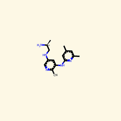 Cc1cc(C)nc(Nc2cc(NC[C@H](C)N)cnc2C#N)c1